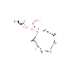 BB(BC)C1CCCCCCC1